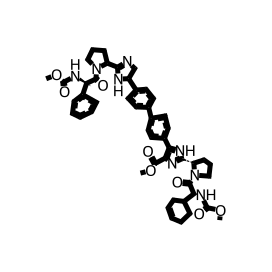 COC(=O)N[C@@H](C(=O)N1CCCC1C1=NCC(c2ccc(-c3ccc(-c4[nH]c([C@@H]5CCCN5C(=O)[C@H](NC(=O)OC)C5CC=CCC5)nc4C(=O)OC)cc3)cc2)N1)c1ccccc1